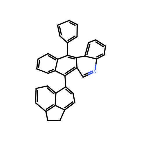 c1ccc(-c2c3ccccc3c(-c3ccc4c5c(cccc35)CC4)c3cnc4ccccc4c23)cc1